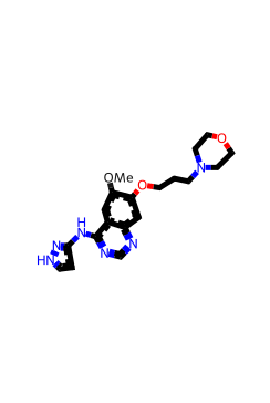 COc1cc2c(Nc3cc[nH]n3)ncnc2cc1OCCCN1CCOCC1